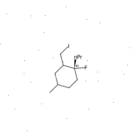 CCC[C@@]1(F)CCC(C)CC1CI